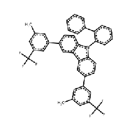 Cc1cc(-c2ccc3c(c2)c2cc(-c4cc(C)cc(C(F)(F)F)c4)ccc2n3-c2ccccc2-c2ccccc2)cc(C(F)(F)F)c1